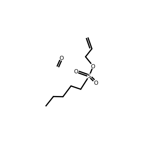 C=CCOS(=O)(=O)CCCCC.C=O